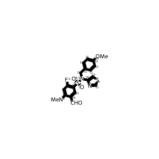 CNc1cc(F)c(S(=O)(=O)N(Cc2ccc(OC)cc2)c2cscn2)cc1C=O